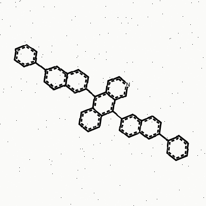 c1ccc(-c2ccc3cc(-c4c5ccccc5c(-c5ccc6cc(-c7ccccc7)ccc6c5)c5cnccc45)ccc3c2)cc1